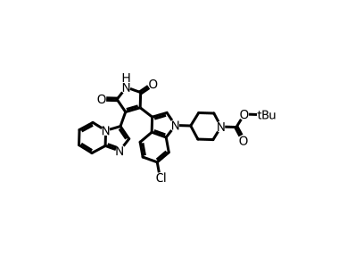 CC(C)(C)OC(=O)N1CCC(n2cc(C3=C(c4cnc5ccccn45)C(=O)NC3=O)c3ccc(Cl)cc32)CC1